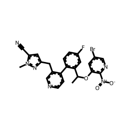 CC(Oc1cc(Br)cnc1[N+](=O)[O-])c1cc(F)ccc1-c1ccncc1Cc1cc(C#N)n(C)n1